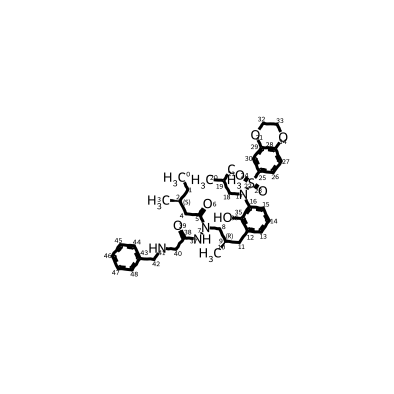 CC[C@H](C)CC(=O)N(C[C@H](C)Cc1cccc(N(CC(C)C)S(=O)(=O)c2ccc3c(c2)OCCO3)c1O)NC(=O)CNCc1ccccc1